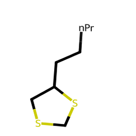 CCCCCC1CSCS1